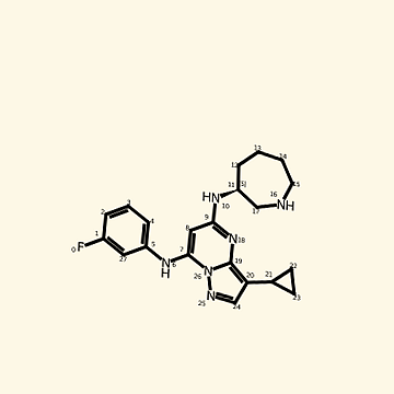 Fc1cccc(Nc2cc(N[C@H]3CCCCNC3)nc3c(C4CC4)cnn23)c1